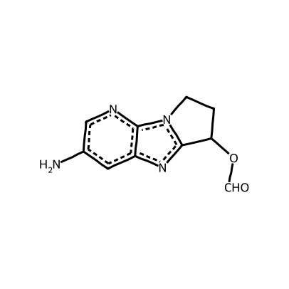 Nc1cnc2c(c1)nc1n2CCC1OC=O